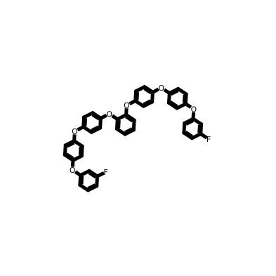 Fc1cccc(Oc2ccc(Oc3ccc(Oc4ccccc4Oc4ccc(Oc5ccc(Oc6cccc(F)c6)cc5)cc4)cc3)cc2)c1